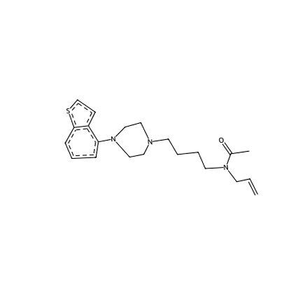 C=CCN(CCCCN1CCN(c2cccc3sccc23)CC1)C(C)=O